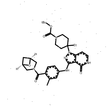 CCC1(n2nc(Nc3ccc(C(=O)N4C[C@H]5C[C@@H](C4)O5)c(C)c3)c3c(=O)[nH]ccc32)CCN(C(=O)OC(C)(C)C)CC1